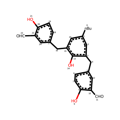 CCCCc1cc(Cc2ccc(O)c(C=O)c2)c(O)c(Cc2ccc(O)c(C=O)c2)c1